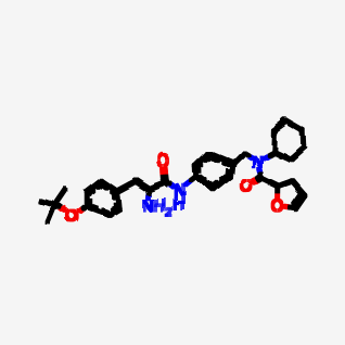 CC(C)(C)Oc1ccc(C[C@H](N)C(=O)Nc2ccc(CN(C(=O)C3CC=CO3)C3CCCCC3)cc2)cc1